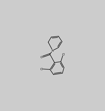 O=C(c1c(Cl)cccc1Cl)N1C=CC=CC1